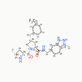 C[C@H]1CN[C@@H](C(=O)N2C[C@H](Cc3cccc(C(F)(F)F)c3)C[C@H]2C(=O)NCc2ccc3c(c2)nnn3C)C1